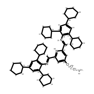 CC(=Nc1c(C2CCCCC2)cc(C2CCCCC2)cc1C1CCCCC1)c1cc(Cl)cc(C(C)=Nc2c(C3CCCCC3)cc(C3CCCCC3)cc2C2CCCCC2)n1.[Cl-].[Cl-].[V+2]